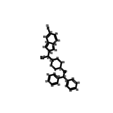 CCC(N1CCC(OC(c2ccccc2)c2ccccc2)CC1)n1cc2ccc(F)cc2c1